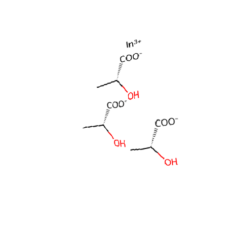 C[C@@H](O)C(=O)[O-].C[C@@H](O)C(=O)[O-].C[C@@H](O)C(=O)[O-].[In+3]